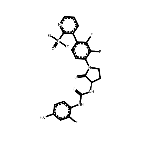 CCP(=O)(CC)c1ncccc1-c1ccc(N2CC[C@@H](NC(=O)Nc3ccc(C(F)(F)F)cc3F)C2=O)c(F)c1F